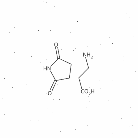 NCCC(=O)O.O=C1CCC(=O)N1